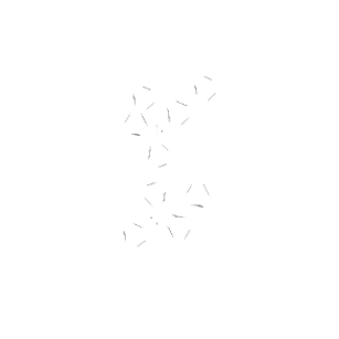 c1ccc(-c2ccc(-n3c4ccccc4c4cc(-c5ccc6c(c5)c5c(-c7ccccc7)cccc5n6-c5ccccc5)ccc43)c(-c3ccccc3)c2)cc1